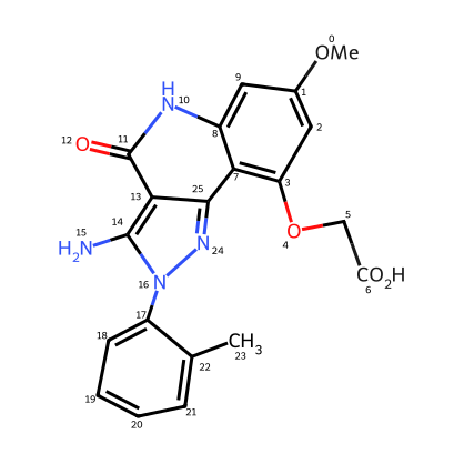 COc1cc(OCC(=O)O)c2c(c1)[nH]c(=O)c1c(N)n(-c3ccccc3C)nc12